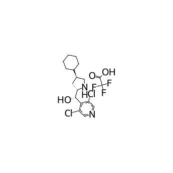 O=C(O)C(F)(F)F.O[C@@H](c1c(Cl)cncc1Cl)[C@@H]1C[C@@H](C2CCCCC2)CN1